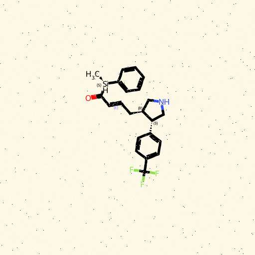 C[Si@H](C(=O)/C=C/C[C@H]1CNC[C@@H]1c1ccc(C(F)(F)F)cc1)c1ccccc1